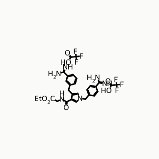 CCOC(=O)CNC(=O)c1cn(Cc2ccc(C(=N)N)cc2)cc1Cc1cccc(C(=N)N)c1.O=C(O)C(F)(F)F.O=C(O)C(F)(F)F